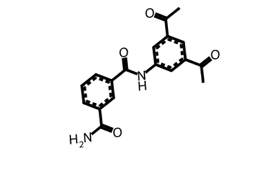 CC(=O)c1cc(NC(=O)c2cccc(C(N)=O)c2)cc(C(C)=O)c1